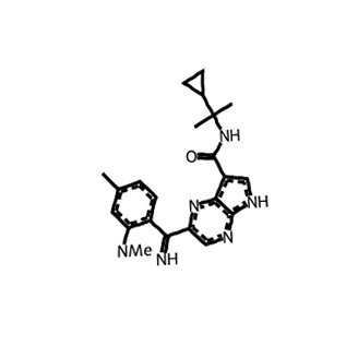 CNc1cc(C)ccc1C(=N)c1cnc2[nH]cc(C(=O)NC(C)(C)C3CC3)c2n1